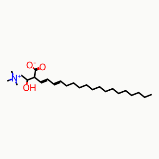 CCCCCCCCCCCCCCC=CC=CC(C(=O)[O-])C(O)C[N+](C)(C)C